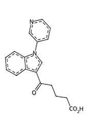 O=C(O)CCCC(=O)c1cn(-c2cccnc2)c2ccccc12